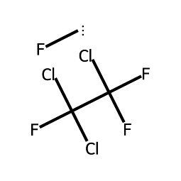 FC(F)(Cl)C(F)(Cl)Cl.[C]F